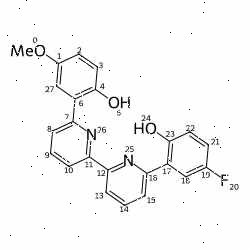 COc1ccc(O)c(-c2cccc(-c3cccc(-c4cc(F)ccc4O)n3)n2)c1